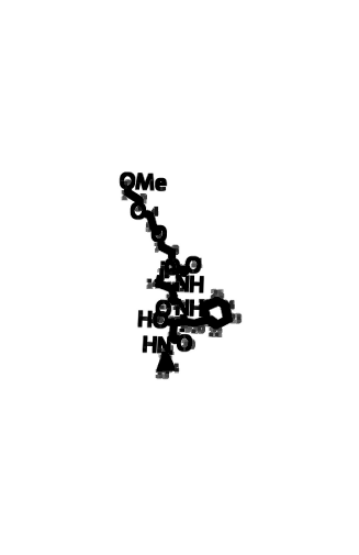 COCCOCCOCCOC(=O)NC(CC(C)C)C(=O)NC(Cc1ccccc1)C(O)C(=O)NC1CC1